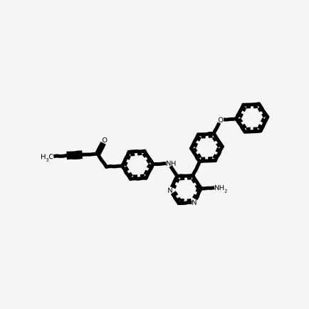 CC#CC(=O)Cc1ccc(Nc2ncnc(N)c2-c2ccc(Oc3ccccc3)cc2)cc1